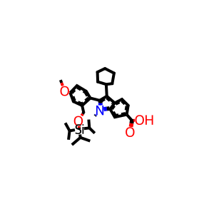 COc1ccc(-c2c(C3CCCCC3)c3ccc(C(=O)O)cc3n2C)c(CO[Si](C(C)C)(C(C)C)C(C)C)c1